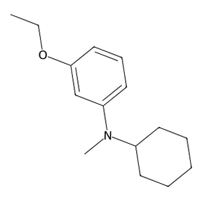 CCOc1cccc(N(C)C2CCCCC2)c1